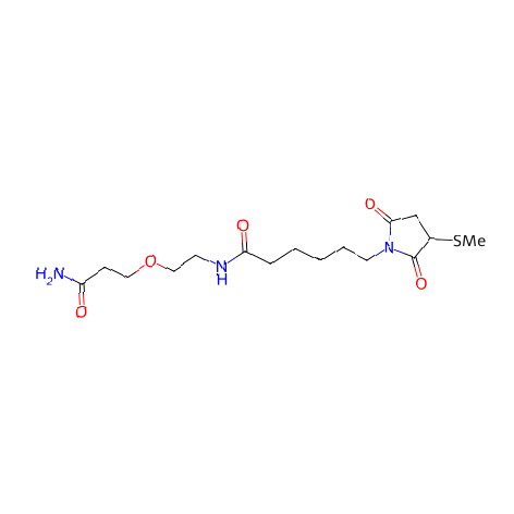 CSC1CC(=O)N(CCCCCC(=O)NCCOCCC(N)=O)C1=O